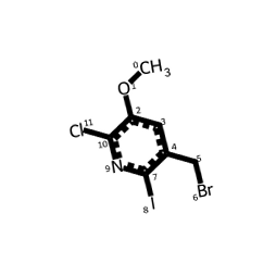 COc1cc(CBr)c(I)nc1Cl